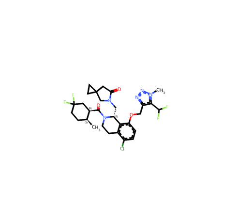 C[C@H]1CCC(F)(F)C[C@H]1C(=O)N1CCc2c(Cl)ccc(OCc3nnn(C)c3C(F)F)c2[C@H]1CN1CC2(CC2)CC1=O